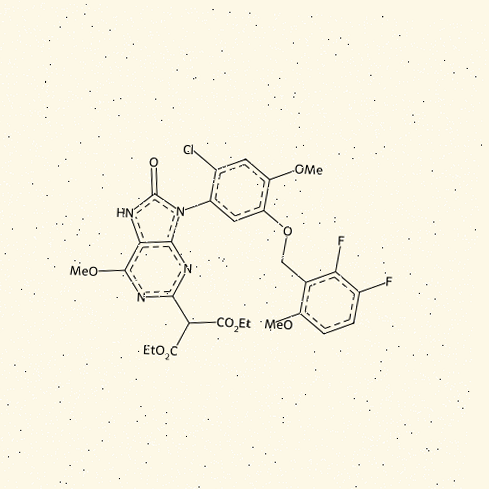 CCOC(=O)C(C(=O)OCC)c1nc(OC)c2[nH]c(=O)n(-c3cc(OCc4c(OC)ccc(F)c4F)c(OC)cc3Cl)c2n1